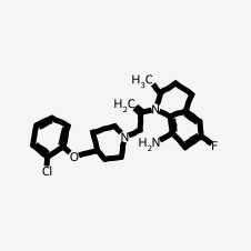 C=C(CN1CCC(Oc2ccccc2Cl)CC1)N1c2c(N)cc(F)cc2CCC1C